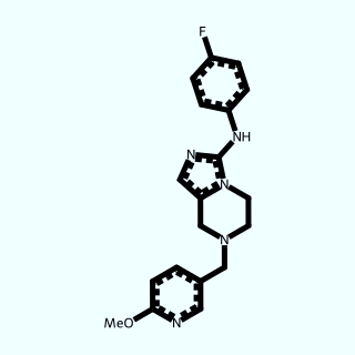 COc1ccc(CN2CCn3c(cnc3Nc3ccc(F)cc3)C2)cn1